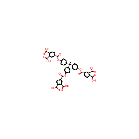 CC(c1ccc(OC(=O)c2ccc(C(=O)O)c(C(=O)O)c2)cc1)(c1ccc(OC(=O)c2ccc(C(=O)O)c(C(=O)O)c2)cc1)c1ccc(OC(=O)c2ccc(C(=O)O)c(C(=O)O)c2)cc1